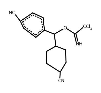 N#Cc1ccc(C(OC(=N)C(Cl)(Cl)Cl)C2CCC(C#N)CC2)cc1